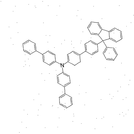 C1=C(c2ccc(C3(c4ccccc4)c4ccccc4-c4ccccc43)cc2)CCC(N(c2ccc(-c3ccccc3)cc2)c2ccc(-c3ccccc3)cc2)=C1